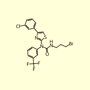 O=C(NCCCBr)N(c1cccc(C(F)(F)F)c1)c1nc(-c2cccc(Cl)c2)cs1